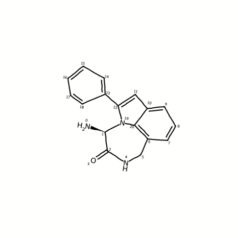 N[C@@H]1C(=O)NCc2cccc3cc(-c4ccccc4)n1c23